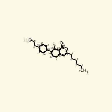 CCCCCCc1cc2ccc(-c3ccc(CCC)cc3)c(F)c2c(=O)o1